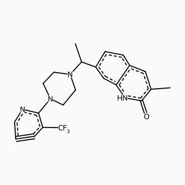 Cc1cc2ccc(C(C)N3CCN(c4ncc#cc4C(F)(F)F)CC3)cc2[nH]c1=O